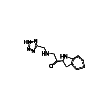 O=C(CNCc1nn[nH]n1)[C@@H]1Cc2ccccc2N1